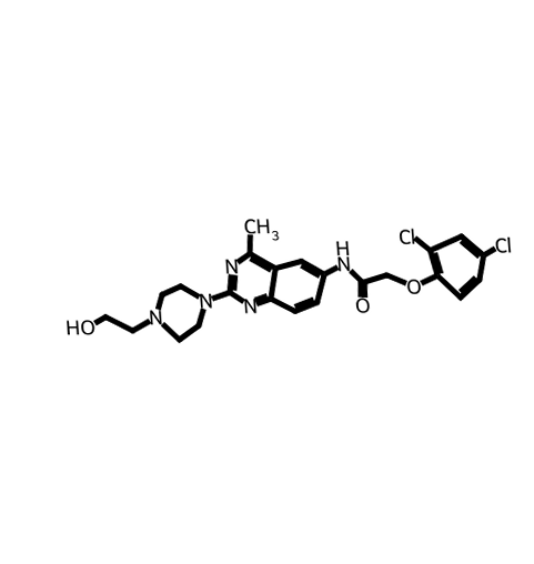 Cc1nc(N2CCN(CCO)CC2)nc2ccc(NC(=O)COc3ccc(Cl)cc3Cl)cc12